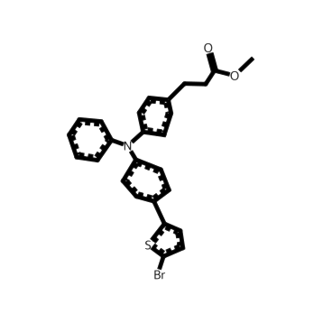 COC(=O)CCc1ccc(N(c2ccccc2)c2ccc(-c3ccc(Br)s3)cc2)cc1